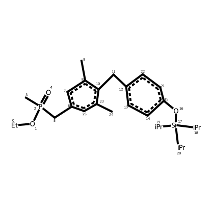 CCOP(C)(=O)Cc1cc(C)c(Cc2ccc(O[Si](C(C)C)(C(C)C)C(C)C)cc2)c(C)c1